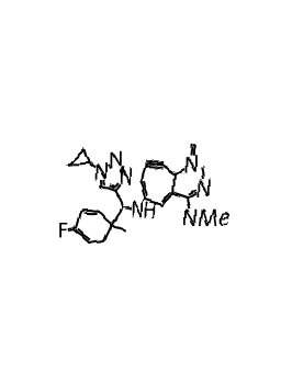 C=NC1C#CC=C(N[C@H](c2cn(C3CC3)nn2)C2(C)C=CC(F)=CC2)C=C1/C(=N\C)NC